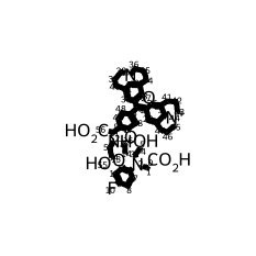 O=C(O)CN(CCO)c1ccc(F)cc1OCCOc1cc(C2=c3cc4c5c(c3Oc3c2cc2c6c3CCCN6CCC2)CCC[N+]=5CCC4)ccc1C(NCCO)C(=O)O